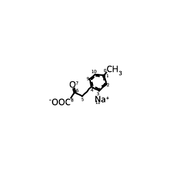 Cc1ccc(CC(=O)C(=O)[O-])cc1.[Na+]